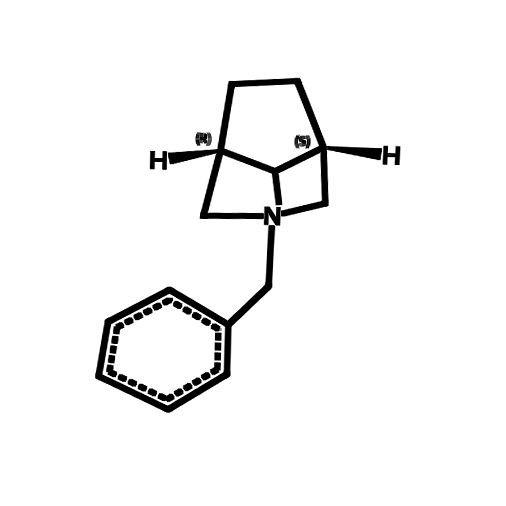 CC1[C@@H]2CC[C@H]1CN(Cc1ccccc1)C2